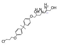 CC(C)(c1ccc(OCCCCl)cc1)c1ccc(OCC(O)CN(N)/C=C(\N)CO)cc1